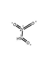 O=[SiH][Zr](=[O])=[O]